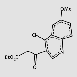 CCOC(=O)CC(=O)c1cnc2ccc(OC)cc2c1Cl